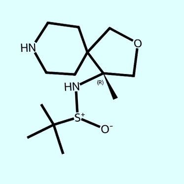 CC(C)(C)[S+]([O-])N[C@@]1(C)COCC12CCNCC2